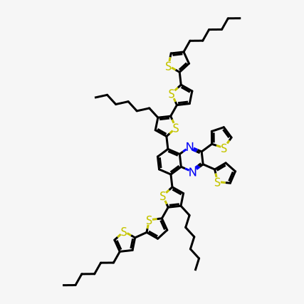 CCCCCCc1csc(-c2ccc(-c3sc(-c4ccc(-c5cc(CCCCCC)c(-c6ccc(-c7cc(CCCCCC)cs7)s6)s5)c5nc(-c6cccs6)c(-c6cccs6)nc45)cc3CCCCCC)s2)c1